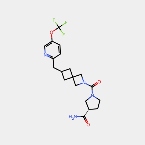 NC(=O)[C@H]1CCN(C(=O)N2CC3(CC(Cc4ccc(OC(F)(F)F)cn4)C3)C2)C1